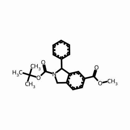 COC(=O)c1ccc2c(c1)C(c1ccccc1)N(C(=O)OC(C)(C)C)C2